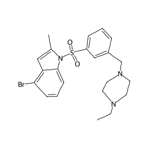 CCN1CCN(Cc2cccc(S(=O)(=O)n3c(C)cc4c(Br)cccc43)c2)CC1